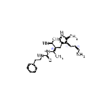 C=c1[nH]cc(C/C(C(C)=N)=C(\C)NC(=O)NCCc2ccccc2)/c1=C/C=C\N